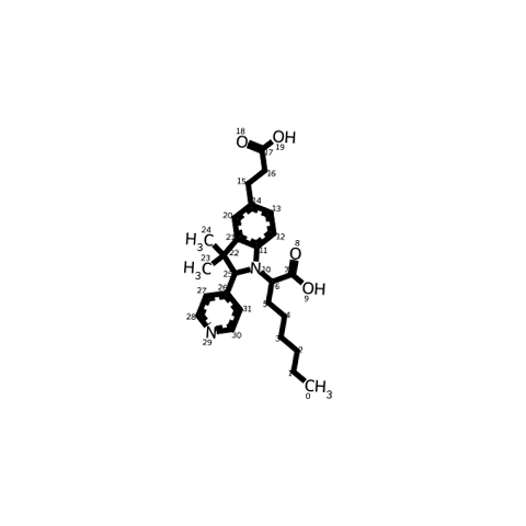 CCCCCCC(C(=O)O)N1c2ccc(CCC(=O)O)cc2C(C)(C)C1c1ccncc1